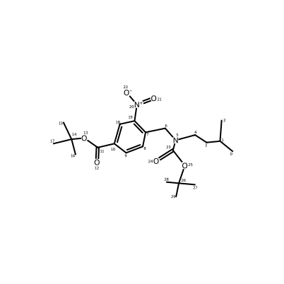 CC(C)CCN(Cc1ccc(C(=O)OC(C)(C)C)cc1[N+](=O)[O-])C(=O)OC(C)(C)C